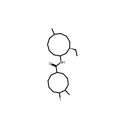 CC[C@@H]1CCCC(C)CCCCC(NC(=O)C2CCCCC(I)C(C)CCC2)C1